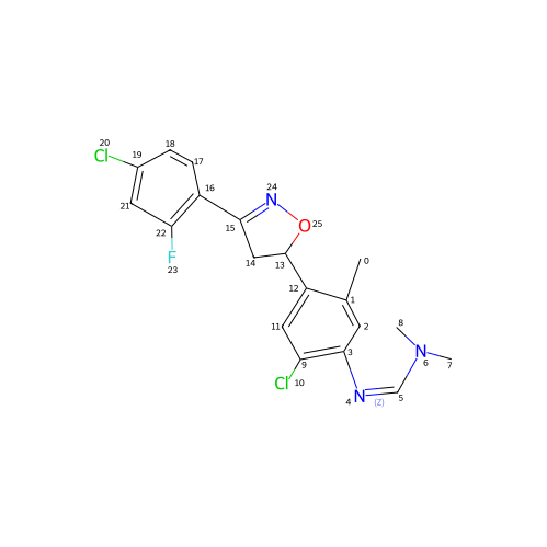 Cc1cc(/N=C\N(C)C)c(Cl)cc1C1CC(c2ccc(Cl)cc2F)=NO1